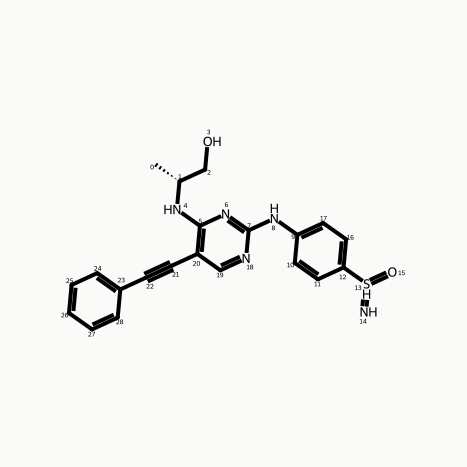 C[C@H](CO)Nc1nc(Nc2ccc([SH](=N)=O)cc2)ncc1C#Cc1ccccc1